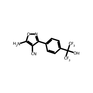 N#Cc1c(-c2ccc(C(O)(C(F)(F)F)C(F)(F)F)cc2)noc1N